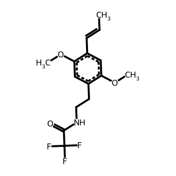 CC=Cc1cc(OC)c(CCNC(=O)C(F)(F)F)cc1OC